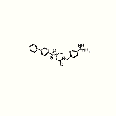 N=C(N)c1ccc(CN2CCN(S(=O)(=O)c3ccc(-c4ccccc4)cc3)CC2=O)cc1